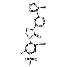 COc1cc(S(C)(=O)=O)c(C)cc1N1CCN(c2cccc(-c3nncn3C(C)C)n2)C1=O